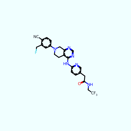 N#Cc1ccc(N2CCc3c(ncnc3Nc3ccc(CC(=O)NCC(F)(F)F)cn3)C2)cc1CF